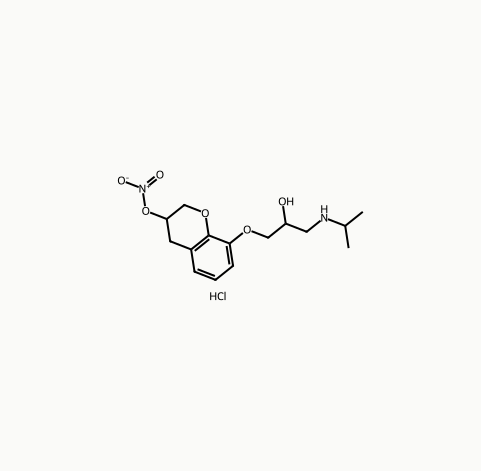 CC(C)NCC(O)COc1cccc2c1OCC(O[N+](=O)[O-])C2.Cl